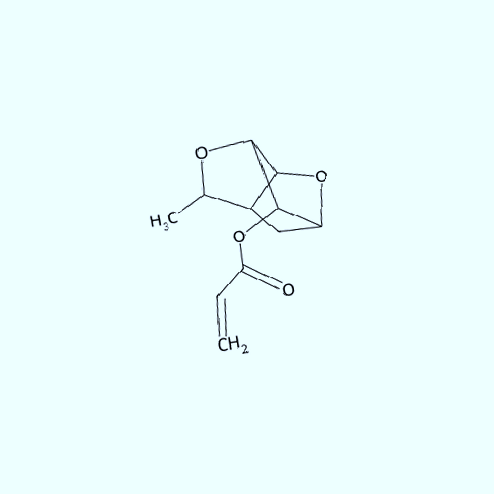 C=CC(=O)OC1C2CC3C(C)OC1C3O2